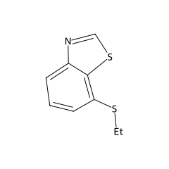 CCSc1cccc2ncsc12